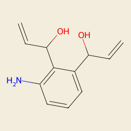 C=CC(O)c1cccc(N)c1C(O)C=C